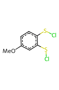 [CH2]Oc1ccc(SCl)c(SCl)c1